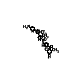 C[C@H]1CNCCN1C(=O)c1ccc(NC(=O)c2ncc(-c3cn(-c4ccc(N)cn4)nc3C(F)(F)F)n2C)cc1Cl